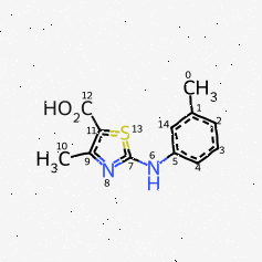 Cc1cccc(Nc2nc(C)c(C(=O)O)s2)c1